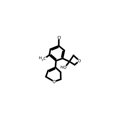 Cc1cc(Cl)cc(C2(O)COC2)c1C1=CCOCC1